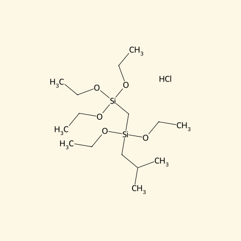 CCO[Si](CC(C)C)(C[Si](OCC)(OCC)OCC)OCC.Cl